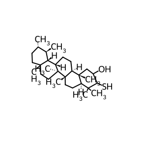 C[C@H]1[C@@H]2[C@@H]3CC[C@H]4[C@]5(C)CC(O)C(S)C(C)(C)[C@H]5CC[C@]4(C)[C@@]3(C)CC[C@]2(C)CC[C@@H]1C